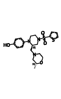 C[C@@H]1CN(C[C@@H]2CN(S(=O)(=O)c3cccs3)CCN2c2ccc(O)cc2)CCO1